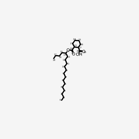 CCCCCCCCCCCCCCC(CCCC)OC(=O)C1CCCCC1C(=O)O